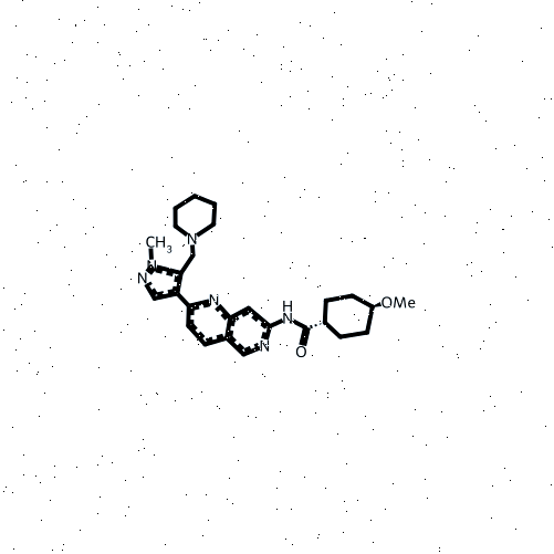 CO[C@H]1CC[C@H](C(=O)Nc2cc3nc(-c4cnn(C)c4CN4CCCCC4)ccc3cn2)CC1